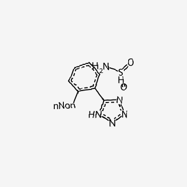 CCCCCCCCCc1ccccc1-c1nnn[nH]1.N[SH](=O)=O